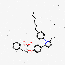 CCCCCCc1ccc(-n2c(C)ccc2-c2ccc(O[C@H](Cc3ccccc3)C(=O)O)cc2)cc1